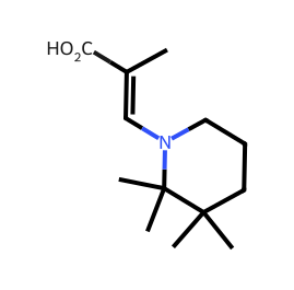 C/C(=C\N1CCCC(C)(C)C1(C)C)C(=O)O